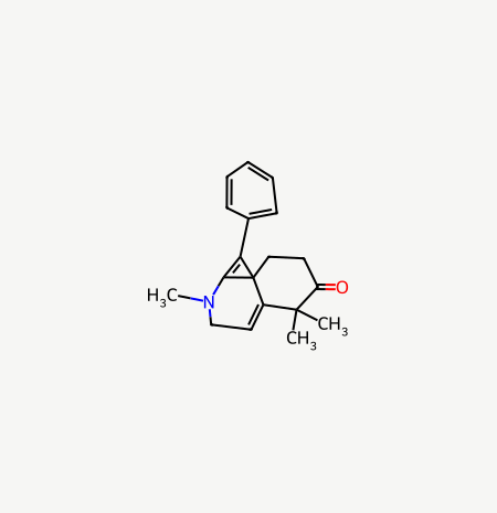 CN1CC=C2C(C)(C)C(=O)CCC23C(c2ccccc2)=C13